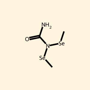 C[Se]N([Se]C)C(N)=O